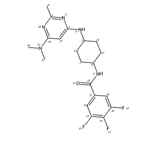 Cc1nc(NC2CCC(NC(=O)c3cc(F)c(F)c(F)c3)CC2)cc(N(C)C)n1